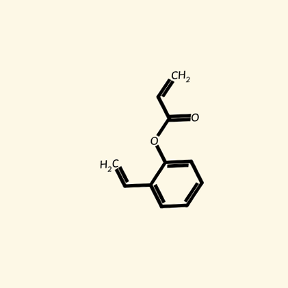 C=CC(=O)Oc1ccccc1C=C